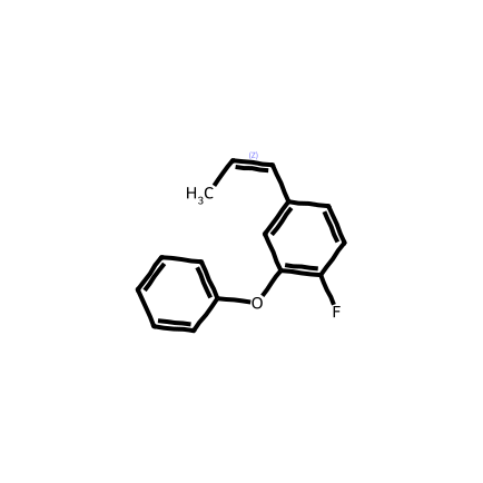 C/C=C\c1ccc(F)c(Oc2ccccc2)c1